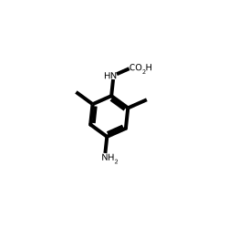 Cc1cc(N)cc(C)c1NC(=O)O